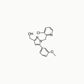 COc1cccc(-c2cc(CO)nn2Cc2ncccc2Cl)c1